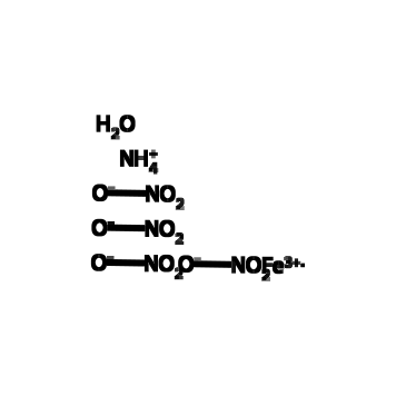 O.O=[N+]([O-])[O-].O=[N+]([O-])[O-].O=[N+]([O-])[O-].O=[N+]([O-])[O-].[Fe+3].[NH4+]